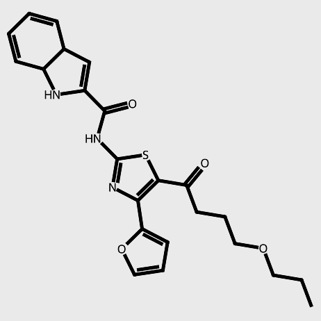 CCCOCCCC(=O)c1sc(NC(=O)C2=CC3C=CC=CC3N2)nc1-c1ccco1